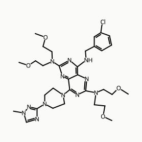 COCCN(CCOC)c1nc(N2CCN(c3ncn(C)n3)CC2)c2nc(N(CCOC)CCOC)nc(NCc3cccc(Cl)c3)c2n1